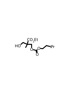 CCOC(=O)C(C)(CO)COC(=O)OCCC(C)C